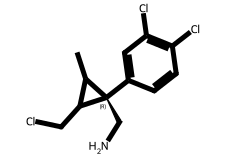 CC1C(CCl)[C@@]1(CN)c1ccc(Cl)c(Cl)c1